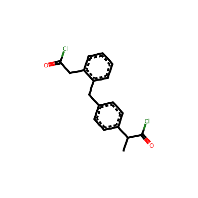 CC(C(=O)Cl)c1ccc(Cc2ccccc2CC(=O)Cl)cc1